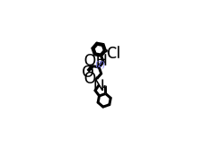 O=C(O)/C(=C\c1ccccc1Cl)CC(=O)N1CC2CCCCC2C1